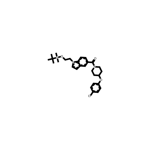 CC(C)(C)[Si](C)(C)OCCn1ccc2cc(C(=O)N3CCC(Oc4ccc(Cl)cc4)CC3)ccc21